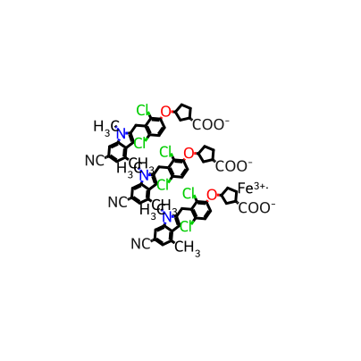 Cc1cc(C#N)cc2c1cc(Cc1c(Cl)ccc(OC3CCC(C(=O)[O-])C3)c1Cl)n2C.Cc1cc(C#N)cc2c1cc(Cc1c(Cl)ccc(OC3CCC(C(=O)[O-])C3)c1Cl)n2C.Cc1cc(C#N)cc2c1cc(Cc1c(Cl)ccc(OC3CCC(C(=O)[O-])C3)c1Cl)n2C.[Fe+3]